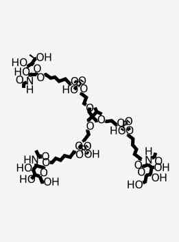 CC(=O)NC1C(OCCCCCCOP(=O)(O)OCCCOCC(COCCCOP(=O)(O)OCCCCCCOC2OC(CO)C(O)C(O)C2NC(C)=O)(COCCCOP(=O)(O)OCCCCCCOC(OC(CO)[C@@H](C)O)[C@H](O)NC(C)=O)C(C)C)OC(CO)C(O)C1O